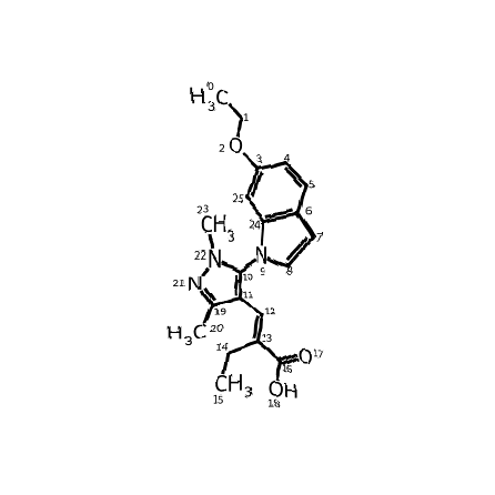 CCOc1ccc2ccn(-c3c(/C=C(\CC)C(=O)O)c(C)nn3C)c2c1